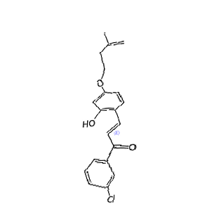 C=C(C)CCOc1ccc(/C=C/C(=O)c2cccc(Cl)c2)c(O)c1